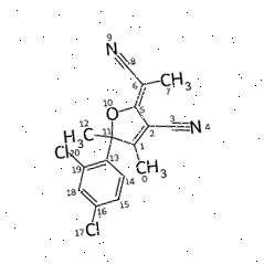 CC1=C(C#N)/C(=C(\C)C#N)OC1(C)c1ccc(Cl)cc1Cl